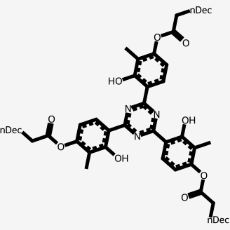 CCCCCCCCCCCC(=O)Oc1ccc(-c2nc(-c3ccc(OC(=O)CCCCCCCCCCC)c(C)c3O)nc(-c3ccc(OC(=O)CCCCCCCCCCC)c(C)c3O)n2)c(O)c1C